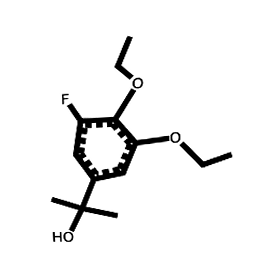 CCOc1cc(C(C)(C)O)cc(F)c1OCC